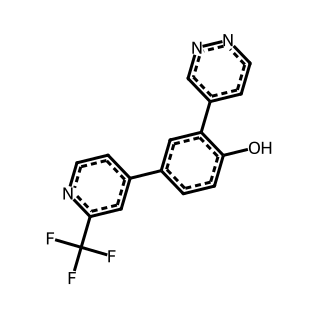 Oc1ccc(-c2ccnc(C(F)(F)F)c2)cc1-c1ccnnc1